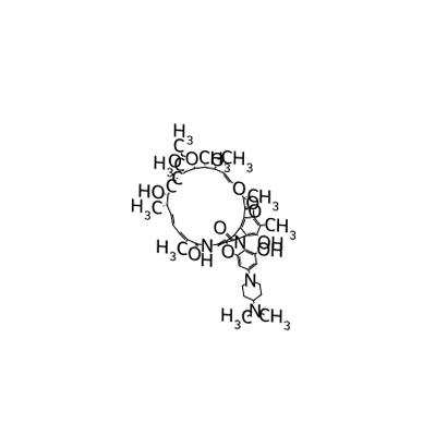 CO[C@H]1/C=C/O[C@@]2(C)Oc3c(C)c(O)c4c(=O)c(c5oc6cc(N7CCC(N(C)C)CC7)cc(O)c6nc-5c4c3C2=O)NC(=O)/C(C)=C\C=C\[C@H](C)[C@H](O)CC[C@@H](C)[C@H](OC(C)=O)[C@@H]1C